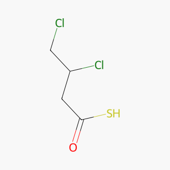 O=C(S)CC(Cl)CCl